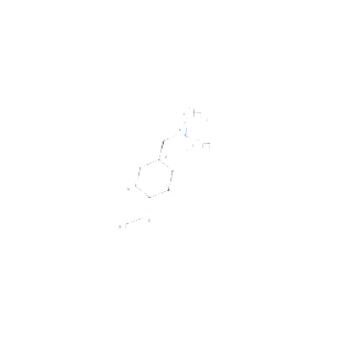 CN(C)C[C@H]1CC[C@H](CI)CC1